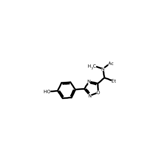 CCC(c1nc(-c2ccc(O)cc2)no1)N(C)C(C)=O